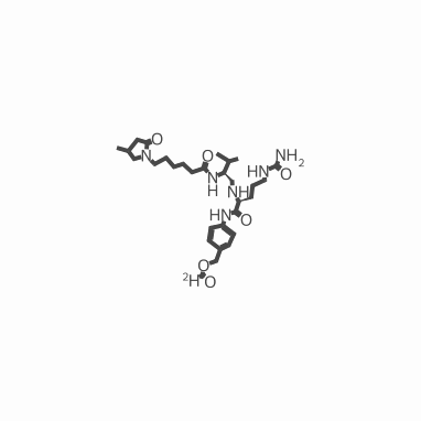 [2H]C(=O)OCc1ccc(NC(=O)[C@H](CCCNC(N)=O)NC[C@@H](NC(=O)CCCCCN2CC(C)CC2=O)C(C)C)cc1